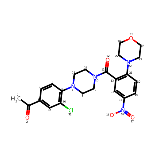 CC(=O)c1ccc(N2CCN(C(=O)c3cc([N+](=O)[O-])ccc3N3CCOCC3)CC2)c(Cl)c1